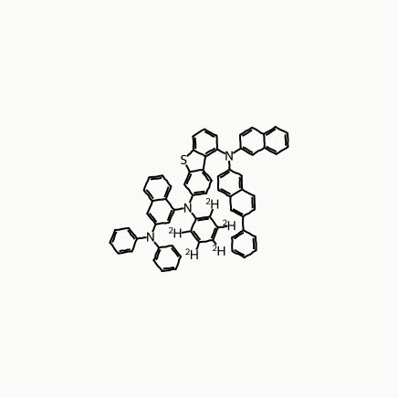 [2H]c1c([2H])c([2H])c(N(c2ccc3c(c2)sc2cccc(N(c4ccc5ccccc5c4)c4ccc5cc(-c6ccccc6)ccc5c4)c23)c2cc(N(c3ccccc3)c3ccccc3)cc3ccccc23)c([2H])c1[2H]